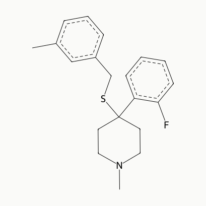 Cc1cccc(CSC2(c3ccccc3F)CCN(C)CC2)c1